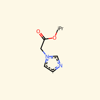 CC(C)OC(=O)Cn1c[c]nc1